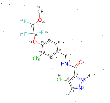 Cc1nn(C)c(C(=O)NCc2ccc(OC(F)(F)C(F)OC(F)(F)F)c(Cl)c2)c1Cl